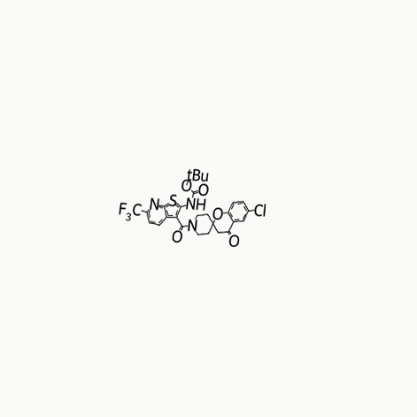 CC(C)(C)OC(=O)Nc1sc2nc(C(F)(F)F)ccc2c1C(=O)N1CCC2(CC1)CC(=O)c1cc(Cl)ccc1O2